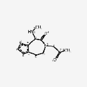 CNC1C(=O)N(CC(C)=O)CCc2ccsc21